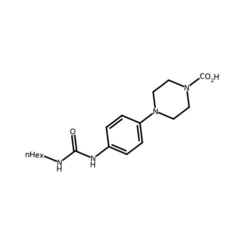 CCCCCCNC(=O)Nc1ccc(N2CCN(C(=O)O)CC2)cc1